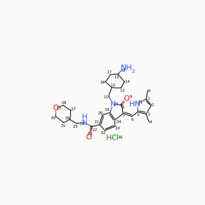 Cc1cc(C)c(/C=C2\C(=O)N(CC3CCC(N)CC3)c3cc(C(=O)NCC4CCOCC4)ccc32)[nH]1.Cl